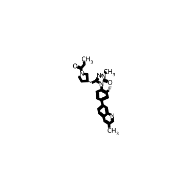 CCC(=O)N1CC[C@@H](Cc2nn(C)c(=O)n2-c2ccc(-c3ccc4cc(C)cnc4c3)cc2F)C1